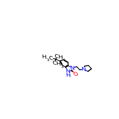 CC(C)(C)c1ccc2c(c1)[nH]c(=O)n2CCN1CCCC1